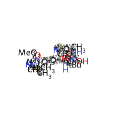 COC(=O)C[C@@H]1N=C(c2ccc(-c3ccc(CCC(=O)N[C@H](C(=O)N4C[C@H](O)C[C@H]4C(=O)N[C@@H](C)c4ccc(-c5scnc5C)cc4)C(C)(C)C)cc3)cc2)c2c(sc(C)c2C)-n2c(C)nnc21